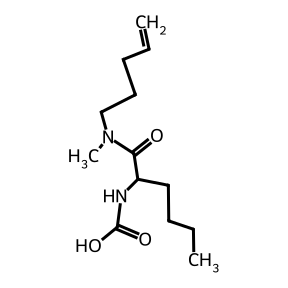 C=CCCCN(C)C(=O)C(CCCC)NC(=O)O